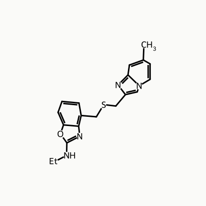 CCNc1nc2c(CSCc3cn4ccc(C)cc4n3)cccc2o1